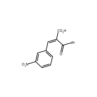 CC(C)C(=O)C(=Cc1cccc([N+](=O)[O-])c1)C(=O)O